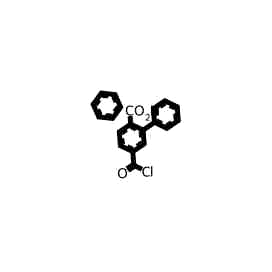 O=C(Cl)c1ccc(C(=O)O)c(-c2ccccc2)c1.c1ccccc1